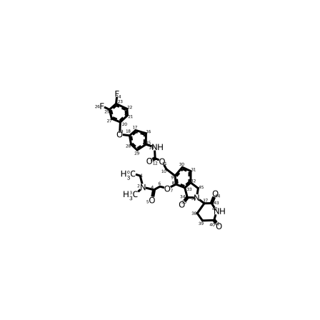 CCN(C)C(=O)COc1c(COC(=O)Nc2ccc(Oc3ccc(F)c(F)c3)cc2)ccc2c1C(=O)N(C1CCC(=O)NC1=O)C2